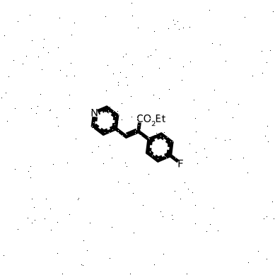 CCOC(=O)/C(=C\c1ccncc1)c1ccc(F)cc1